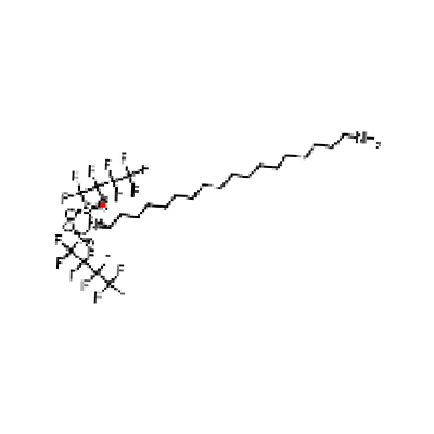 NCCCCCCCCCCCCCCCCCC=[N+](S(=O)(=O)C(F)(F)C(F)(F)C(F)(F)C(F)(F)F)S(=O)(=O)C(F)(F)C(F)(F)C(F)(F)C(F)(F)F